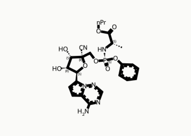 CCCOC(=O)[C@H](C)N[P@](=O)(OC[C@@]1(C#N)O[C@@H](c2ccc3c(N)ncnn23)[C@H](O)[C@@H]1O)Oc1ccccc1